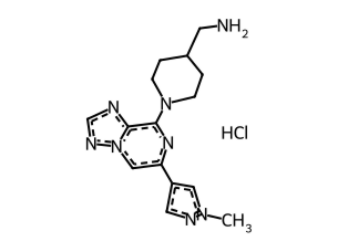 Cl.Cn1cc(-c2cn3ncnc3c(N3CCC(CN)CC3)n2)cn1